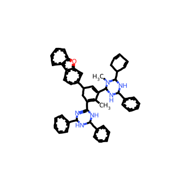 CC1=C(C2=NC(c3ccccc3)NC(c3ccccc3)N2)CC(c2ccc3c(c2)oc2ccccc23)C=C1C1NC(c2ccccc2)NC(C2C=CC=CC2)N1C